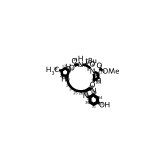 COC(=O)[C@@H]1C[C@@H]2CN1C(=O)[C@H](C(C)(C)C)NC(=O)O[C@@H]1C[C@H](C)C[C@H]1CCCCCc1nc3ccc(O)cc3nc1O2